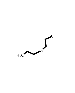 CC[CH2][Sr][CH2]CC